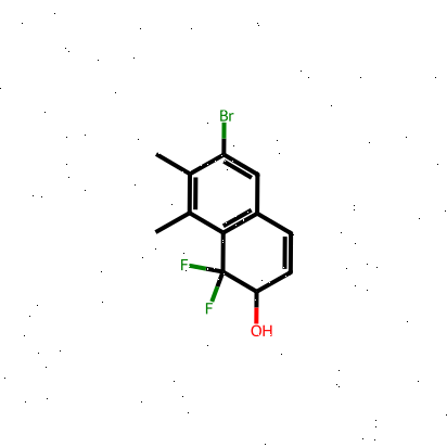 Cc1c(Br)cc2c(c1C)C(F)(F)C(O)C=C2